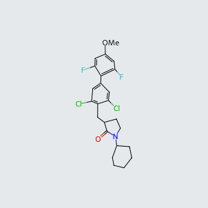 COc1cc(F)c(-c2cc(Cl)c(CC3CCN(C4CCCCC4)C3=O)c(Cl)c2)c(F)c1